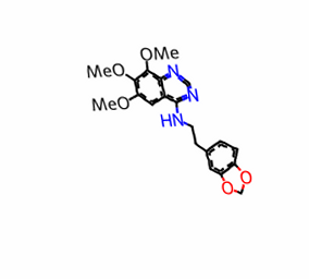 COc1cc2c(NCCc3ccc4c(c3)OCO4)ncnc2c(OC)c1OC